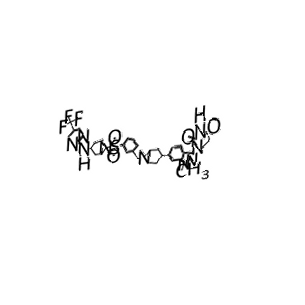 Cn1nc(N2CCC(=O)NC2=O)c2ccc(C3CCN(Cc4cccc(S(=O)(=O)N5CCC(Nc6ncc(C(F)(F)F)cn6)CC5)c4)CC3)cc21